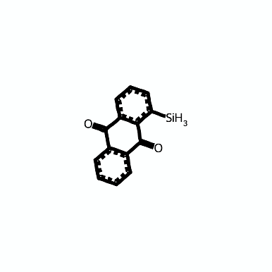 O=C1c2ccccc2C(=O)c2c([SiH3])cccc21